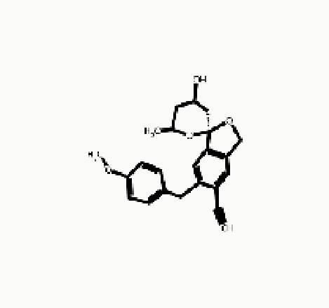 C#Cc1cc2c(cc1Cc1ccc(OC)cc1)[C@]1(CC(O)CC(C)O1)OC2